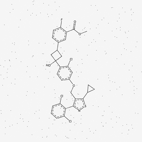 COC(=O)c1cc(C2CC(O)(c3ccc(OCc4c(-c5c(Cl)cccc5Cl)nsc4C4CC4)cc3Cl)C2)ccc1F